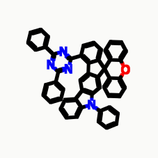 c1ccc(-c2nc(-c3ccccc3)nc(-c3cccc4c3-c3cc5c6ccccc6n(-c6ccccc6)c5cc3C43c4ccccc4Oc4ccccc43)n2)cc1